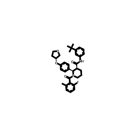 Cc1cccc(F)c1C(=O)N1CCC[C@H](C(=O)Nc2cccc(C(C)(C)C)c2)[C@@H]1c1ccc(O[C@@H]2CCOC2)cc1